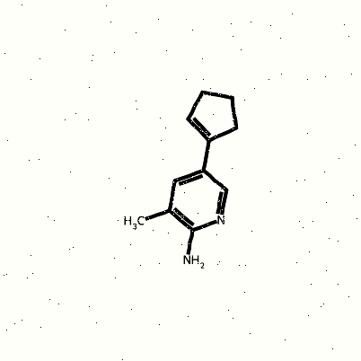 Cc1cc(C2=CCCC2)cnc1N